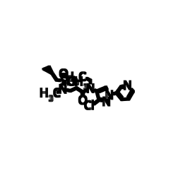 CCN(C(=O)CCN(C)[SH](C)(=O)CC1CC1)c1cn(-c2cccnc2)nc1Cl